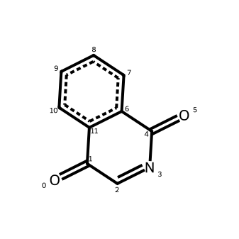 O=C1C=NC(=O)c2ccccc21